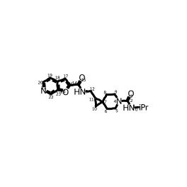 CC(C)NC(=O)N1CCC2(CC1)CC2CNC(=O)c1cc2ccncc2o1